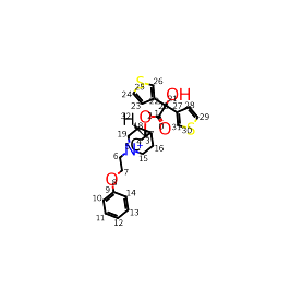 O=C(O[C@H]1C[N+]2(CCOc3ccccc3)CCC1CC2)C(O)(c1ccsc1)c1ccsc1